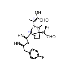 CCN(C=O)C1(N(C)N(/C=C(\C)C(=N)SC(=N)Cc2ccc(F)cc2)/C(C)=C(/O)C=O)CCC1